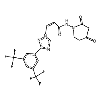 O=C1CCN(NC(=O)/C=C\n2cnc(-c3cc(C(F)(F)F)cc(C(F)(F)F)c3)n2)C(=O)C1